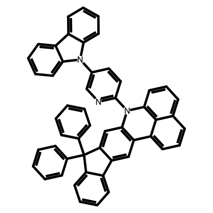 c1ccc(C2(c3ccccc3)c3ccccc3-c3cc4c(cc32)N(c2ccc(-n3c5ccccc5c5ccccc53)cn2)c2cccc3cccc-4c23)cc1